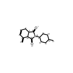 C=C1C=CCC2C(=O)N(C3CCC(C)CC3)C(=O)C12